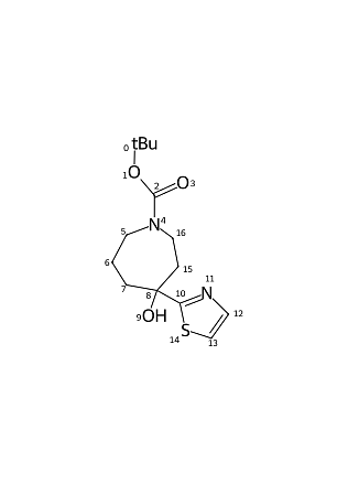 CC(C)(C)OC(=O)N1CCCC(O)(c2nccs2)CC1